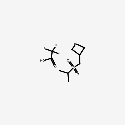 CC(C)S(=O)(=O)CC1CNC1.O=C(O)C(F)(F)F